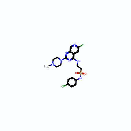 CN1CCN(c2nc(NCCS(=O)(=O)Nc3ccc(Cl)cc3)c3cc(Cl)ncc3n2)CC1